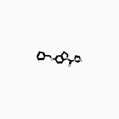 O=C(N1CCc2cc(OCc3ccccc3)ccc21)n1ccnc1